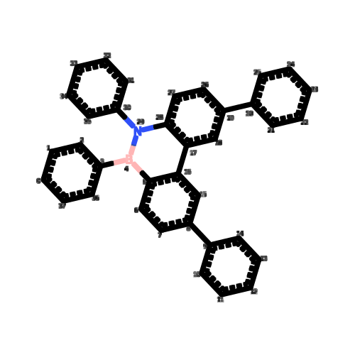 c1ccc(B2c3ccc(-c4ccccc4)cc3-c3cc(-c4ccccc4)ccc3N2c2ccccc2)cc1